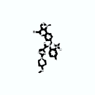 COC1CCN(c2ncc(C(=O)N(Cc3ccc4c(c3)nc(Br)c3cnn(C)c34)c3ccc(F)cc3S(C)(=O)=O)s2)CC1